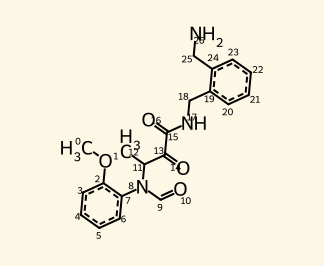 COc1ccccc1N(C=O)C(C)C(=O)C(=O)NCc1ccccc1CN